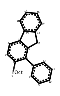 CCCCCCCCc1ccc2c(c1-c1ccccc1)Cc1ccccc1-2